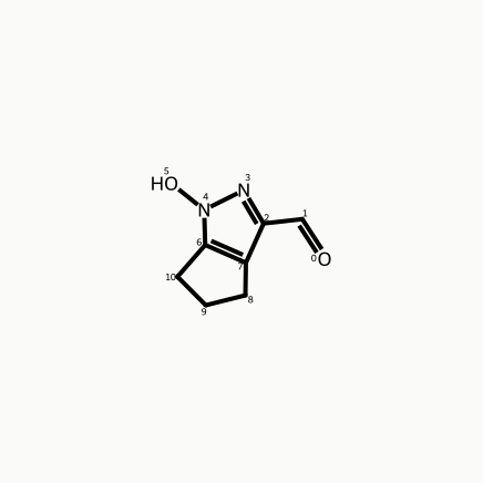 O=Cc1nn(O)c2c1CCC2